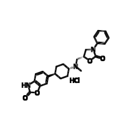 CN(C[C@@H]1CN(c2ccccc2)C(=O)O1)[C@H]1CC[C@H](c2ccc3[nH]c(=O)oc3c2)CC1.Cl